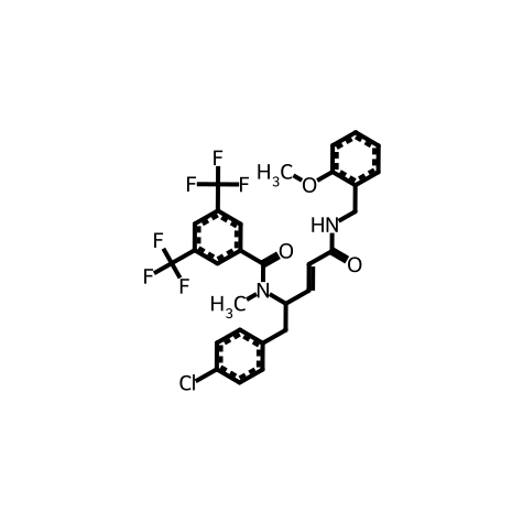 COc1ccccc1CNC(=O)C=CC(Cc1ccc(Cl)cc1)N(C)C(=O)c1cc(C(F)(F)F)cc(C(F)(F)F)c1